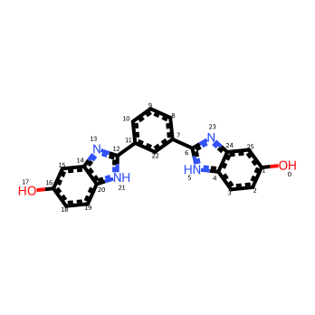 Oc1ccc2[nH]c(-c3cccc(-c4nc5cc(O)ccc5[nH]4)c3)nc2c1